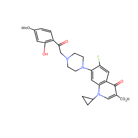 COc1ccc(C(=O)CN2CCN(c3cc4c(cc3F)c(=O)c(C(=O)O)cn4C3CC3)CC2)c(O)c1